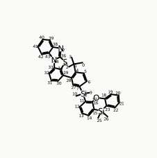 CC(C)(C)c1ccc([Si](C)(C)c2cccc3c2Oc2ccccc2[Si]3(C)C)cc1-c1cccc2c1sc1nc3ccccc3n12